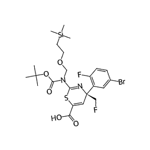 CC(C)(C)OC(=O)N(COCC[Si](C)(C)C)C1=N[C@](CF)(c2cc(Br)ccc2F)C=C(C(=O)O)S1